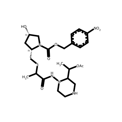 CC(=O)OC(C)C1CNCCN1NC(=O)C(C)SC[C@@H]1C[C@H](O)CN1C(=O)OCc1ccc([N+](=O)[O-])cc1